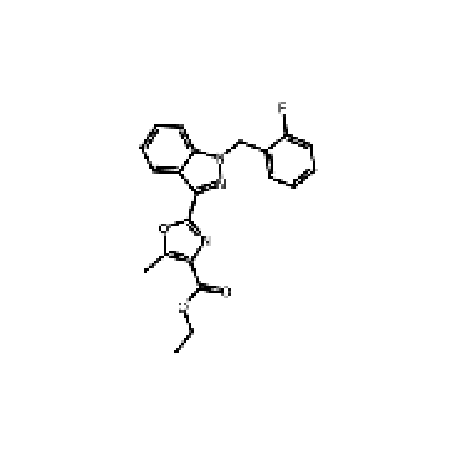 CCOC(=O)c1nc(-c2nn(Cc3ccccc3F)c3ccccc23)oc1C